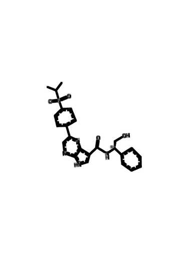 CC(C)S(=O)(=O)c1ccc(-c2cnc3[nH]cc(C(=O)N[C@@H](CO)c4ccccc4)c3n2)cc1